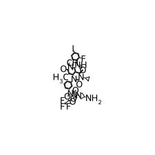 Cc1c(=O)n(C)c(Nc2ccc(I)cc2F)c2c(=O)n(C3CC3)c(=O)n(-c3cccc(N(OC(=O)C(F)(F)F)S(=O)(=O)N4CC(N)C4)c3)c12